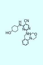 N#Cc1cnc(NCc2ccccc2N2CCOCC2)nc1NC1CCC(O)CC1